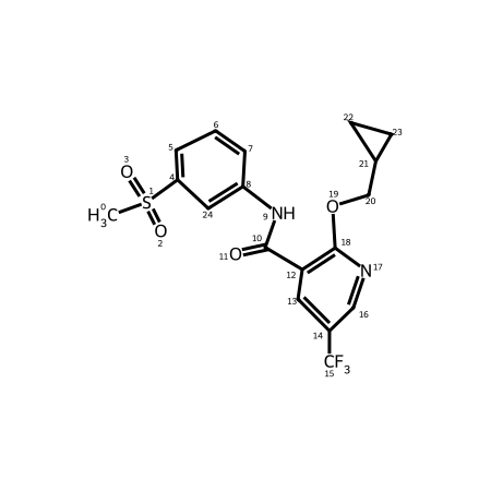 CS(=O)(=O)c1cccc(NC(=O)c2cc(C(F)(F)F)cnc2OCC2CC2)c1